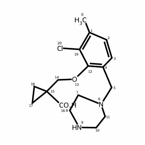 Cc1ccc(CN2CCNCC2)c(OCC2(C(=O)O)CC2)c1Cl